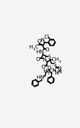 Cc1onc(-c2ccccc2Cl)c1C(=O)NC1C(=O)N2C1SC(C)(CSc1nnnn1C)C2C(=O)ON(CCNCc1ccccc1)Cc1ccccc1